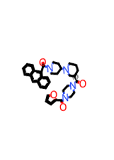 O=C(c1ccco1)N1CCN(C(=O)[C@@H]2CCCN(C3CCN(C(=O)c4c5ccccc5cc5ccccc45)CC3)C2)CC1